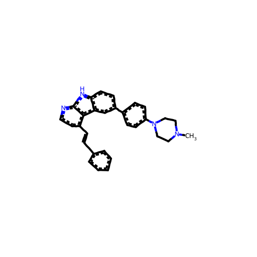 CN1CCN(c2ccc(-c3ccc4[nH]c5nccc(C=Cc6ccccc6)c5c4c3)cc2)CC1